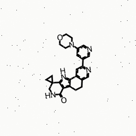 O=C1NCC2(CC2)c2[nH]c3c(c21)CCc1cnc(-c2cncc(N4CCOCC4)c2)cc1-3